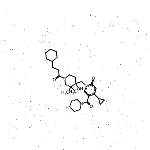 CC1(C)CN(C(=O)CCC2CCCCC2)CCC1(O)Cn1cc(C(=O)N2CCNCC2)c(C2CC2)cc1=O